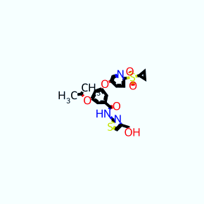 CC(C)Oc1cc(Oc2ccc(S(=O)(=O)C3CC3)nc2)cc(C(=O)Nc2nc(CO)cs2)c1